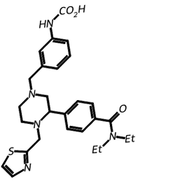 CCN(CC)C(=O)c1ccc(C2CN(Cc3cccc(NC(=O)O)c3)CCN2Cc2nccs2)cc1